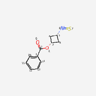 O=C(O[C@H]1C[C@@H](N=S)C1)c1ccccc1